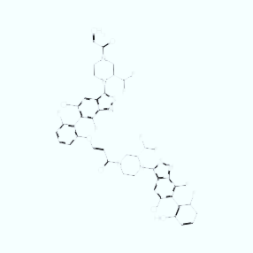 C=CC(=O)N1CCN(c2snc3c(F)c(-c4c(F)cccc4O/C=C/C(=O)N4CCN(c5snc6c(F)c(C7=C(O)C=CCC7F)c(Cl)cc56)[C@@H](C(F)F)C4)c(Cl)cc23)[C@H](C(F)F)C1